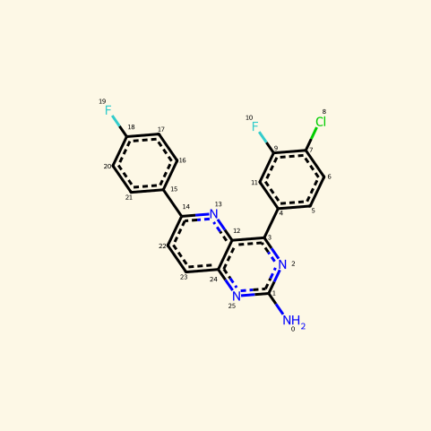 Nc1nc(-c2ccc(Cl)c(F)c2)c2nc(-c3ccc(F)cc3)ccc2n1